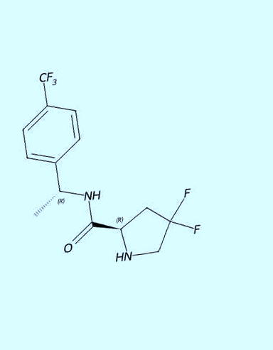 C[C@@H](NC(=O)[C@H]1CC(F)(F)CN1)c1ccc(C(F)(F)F)cc1